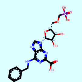 O=C(O)c1nc(NCc2ccccc2)c2ncn([C@@H]3O[C@H](COCP(=O)(O)O)[C@@H](O)[C@H]3O)c2n1